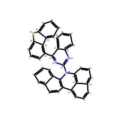 c1ccc2c3c(ccc2c1)-c1cccc2cccc(c12)N3c1nc(-c2cccc3sc4ccccc4c23)c2ccccc2n1